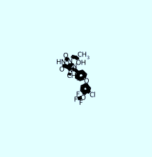 CC(O)Cn1c(=O)[nH]c(=O)c2c1nc(-c1ccc(Oc3ccc(OC(F)(F)F)c(Cl)c3)cc1)n2C